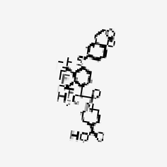 C=C(C(=O)N1CCC(C(=O)O)CC1)c1ccc(Sc2ccc3c(c2)CCOO3)c(C(F)(F)F)c1C(F)(F)F